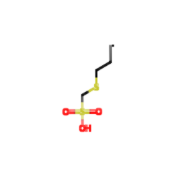 [CH2]CCSCS(=O)(=O)O